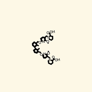 COc1nc(OCc2cccc(-c3cccc(COc4ccc(CN5CCCCC5C(=O)O)c(OC)n4)c3C)c2C)ccc1CN1CCCCC1C(=O)O